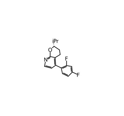 CC(C)[C@@H]1CCc2c(-c3ccc(F)cc3F)ccnc2O1